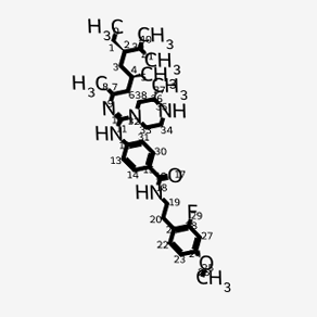 CC[C@H](C[C@@H](C)CC(C)/N=C(/Nc1ccc(C(=O)NCCc2ccc(OC)cc2F)cc1)N1CCN[C@@H](C)C1)C(C)C